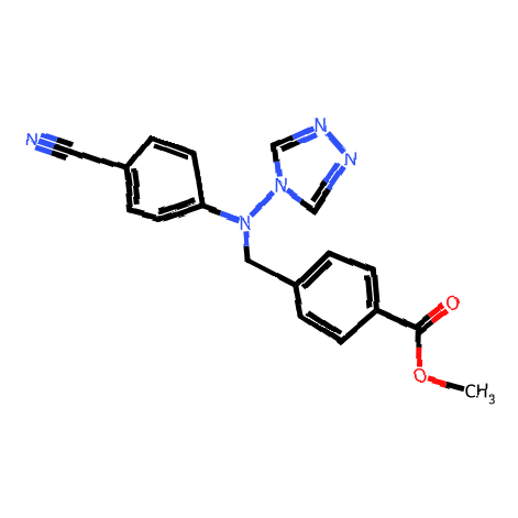 COC(=O)c1ccc(CN(c2ccc(C#N)cc2)n2cnnc2)cc1